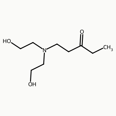 CCC(=O)CCN(CCO)CCO